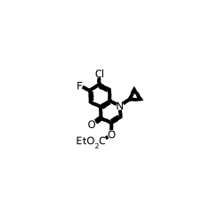 CCOC(=O)Oc1cn(C2CC2)c2cc(Cl)c(F)cc2c1=O